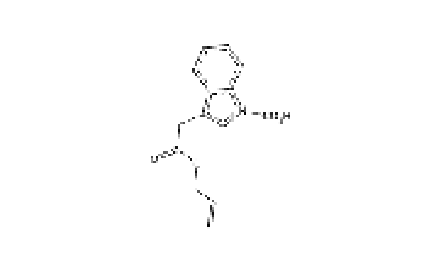 C=CCOC(=O)Cc1cn(C(=O)O)c2ccccc12